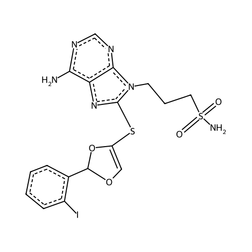 Nc1ncnc2c1nc(SC1=COC(c3ccccc3I)O1)n2CCCS(N)(=O)=O